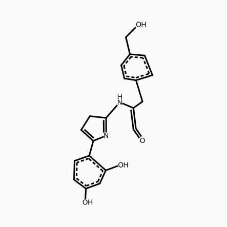 O=C=C(Cc1ccc(CO)cc1)NC1=NC(c2ccc(O)cc2O)=CC1